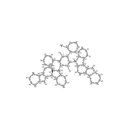 Cc1c(-c2ccccc2F)c(-n2c3ccccc3c3c4sc5ccccc5c4ccc32)c(C)c(-n2c3ccccc3c3c4sc5ccccc5c4ccc32)c1-c1ccccc1F